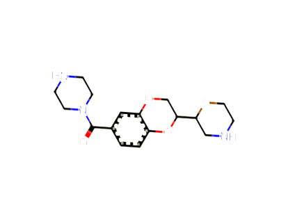 O=C(c1ccc2c(c1)OCC(C1CNCCS1)O2)N1CCNCC1